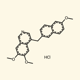 COc1ccc2cc(Cc3cncc4cc(OC)c(OC)cc34)ccc2c1.Cl